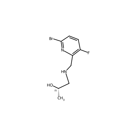 C[C@H](O)CNCc1nc(Br)ccc1F